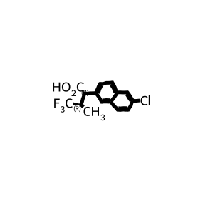 C[C@H]([C@@H](C(=O)O)c1ccc2cc(Cl)ccc2c1)C(F)(F)F